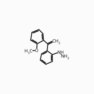 C=C(c1ccccc1NN)c1ccccc1OC